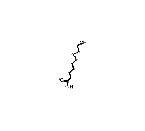 NC(=O)CCCCCOCCO